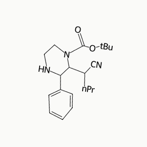 CCCC(C#N)C1C(c2ccccc2)NCCN1C(=O)OC(C)(C)C